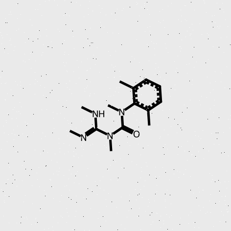 C/N=C(\NC)N(C)C(=O)N(C)c1c(C)cccc1C